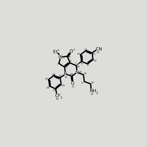 CCN1CC2=C(C1=O)[C@@H](c1ccc(C#N)cc1)N(CCCN)C(=O)N2c1cccc(C(F)(F)F)c1